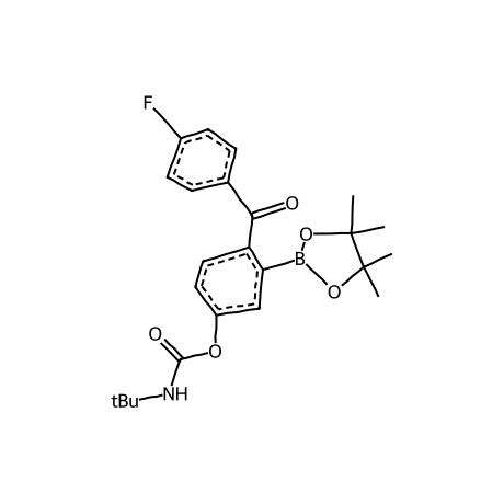 CC(C)(C)NC(=O)Oc1ccc(C(=O)c2ccc(F)cc2)c(B2OC(C)(C)C(C)(C)O2)c1